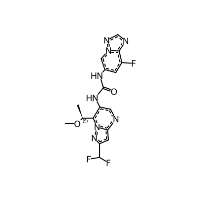 CO[C@@H](C)c1c(NC(=O)Nc2cc(F)c3ncnn3c2)cnc2cc(C(F)F)nn12